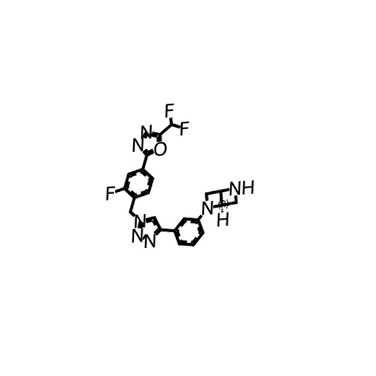 Fc1cc(-c2nnc(C(F)F)o2)ccc1Cn1cc(-c2cccc(N3CC4NC[C@H]43)c2)nn1